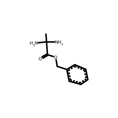 CC(N)(N)C(=O)OCc1ccccc1